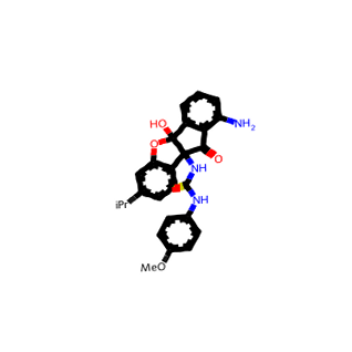 COc1ccc(NC(=S)NC23C(=O)c4c(N)cccc4C2(O)Oc2cc(C(C)C)ccc23)cc1